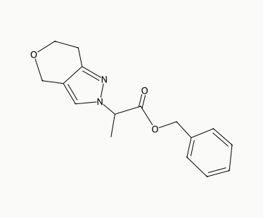 CC(C(=O)OCc1ccccc1)n1cc2c(n1)CCOC2